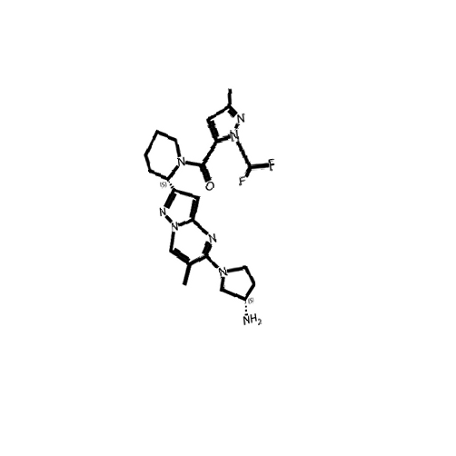 Cc1cc(C(=O)N2CCCC[C@H]2c2cc3nc(N4CC[C@H](N)C4)c(C)cn3n2)n(C(F)F)n1